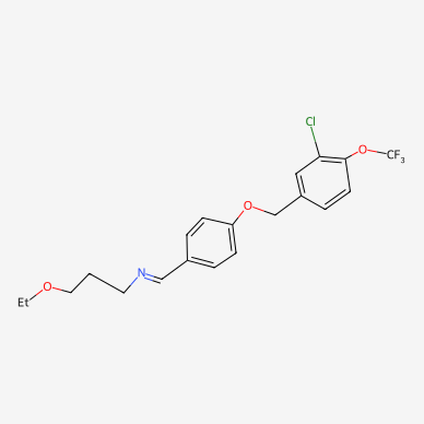 CCOCCCN=Cc1ccc(OCc2ccc(OC(F)(F)F)c(Cl)c2)cc1